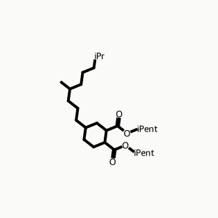 CCCC(C)OC(=O)C1CCC(CCCC(C)CCCC(C)C)CC1C(=O)OC(C)CCC